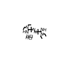 CCN(CC)C(=N)C(C)(C)N=NC(C)(C)C(=N)N(CC)CC.Cl.Cl